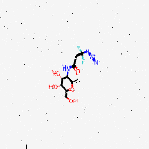 C[C@H]1OC(CO)[C@H](O)[C@H](O)C1NC(=O)CC(F)(F)N=[N+]=[N-]